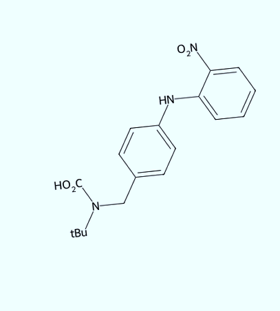 CC(C)(C)N(Cc1ccc(Nc2ccccc2[N+](=O)[O-])cc1)C(=O)O